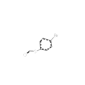 O=CSc1ccc(Br)cc1